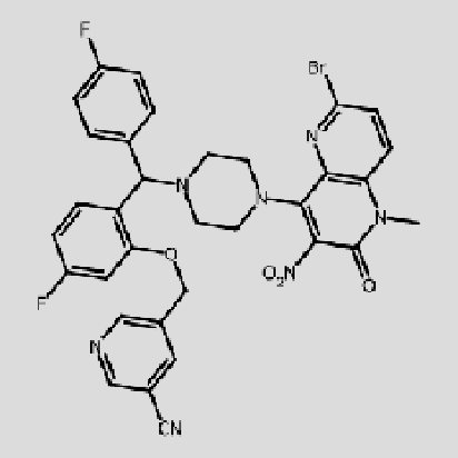 Cn1c(=O)c([N+](=O)[O-])c(N2CCN(C(c3ccc(F)cc3)c3ccc(F)cc3OCc3cncc(C#N)c3)CC2)c2nc(Br)ccc21